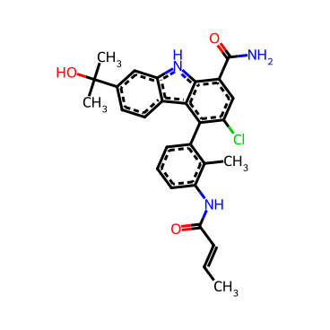 CC=CC(=O)Nc1cccc(-c2c(Cl)cc(C(N)=O)c3[nH]c4cc(C(C)(C)O)ccc4c23)c1C